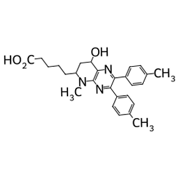 Cc1ccc(-c2nc3c(nc2-c2ccc(C)cc2)N(C)C(CCCCC(=O)O)CC3O)cc1